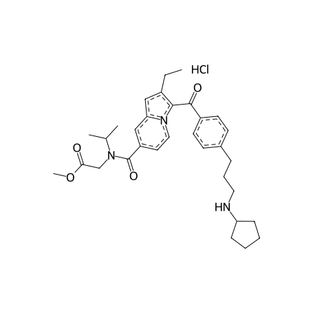 CCc1cc2cc(C(=O)N(CC(=O)OC)C(C)C)ccn2c1C(=O)c1ccc(CCCNC2CCCC2)cc1.Cl